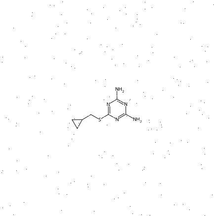 Nc1nc(N)nc(SCC2CC2)n1